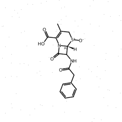 CC1=C(C(=O)O)N2C(=O)C(NC(=O)Cc3ccccc3)[C@H]2[S+]([O-])C1